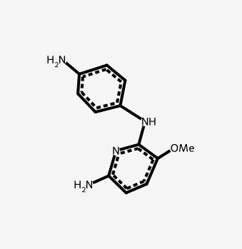 COc1ccc(N)nc1Nc1ccc(N)cc1